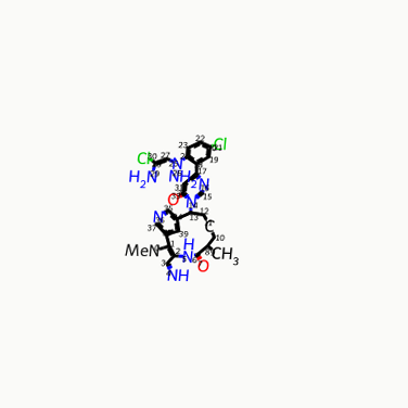 CN/C1=C(\C=N)NC(=O)C(C)CCCC(n2cnc(-c3cc(Cl)ccc3N(N)/C=C(\N)Cl)cc2=O)c2cncc1c2